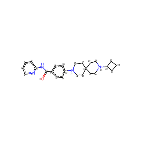 O=C(Nc1ccccn1)c1ccc(N2CCC3(CC2)CCN(C2CCC2)CC3)cc1